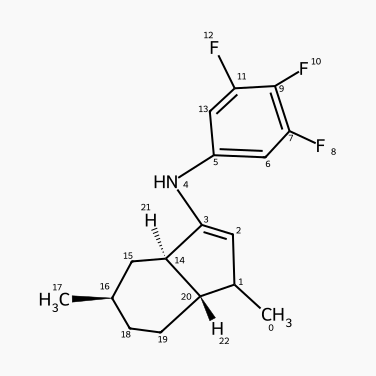 CC1C=C(Nc2cc(F)c(F)c(F)c2)[C@@H]2C[C@H](C)CC[C@@H]12